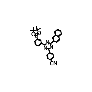 CC1(C)OB(c2cccc(-c3nc(-c4ccc(C#N)cc4)nc(-c4ccc5ccccc5c4)n3)c2)OC1(C)C